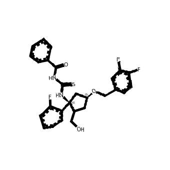 O=C(NC(=S)N[C@@]1(c2ccccc2F)C[C@@H](OCc2ccc(F)c(F)c2)CC1CO)c1ccccc1